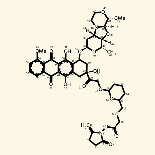 C=C1CCC(=O)N1OC(=O)COCC1CCCC(OCC(=O)[C@]2(O)Cc3c(O)c4c(c(O)c3[C@@H](O[C@H]3C[C@H]5[C@H](O[C@@H]6[C@@H](OC)OCCN65)[C@H](C)O3)C2)C(=O)c2c(OC)cccc2C4=O)O1